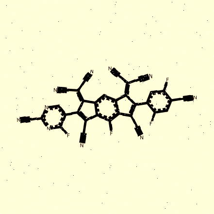 N#CC(C#N)=C1C(c2cc(F)c(C#N)cc2F)=C(C#N)c2c1cc1c(c2F)C(C#N)=C(c2cnc(C#N)nc2F)C1=C(C#N)C#N